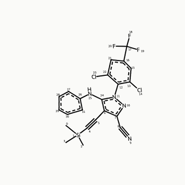 C[Si](C)(C)C#Cc1c(C#N)nn(-c2c(Cl)cc(C(F)(F)F)cc2Cl)c1Nc1ccccc1